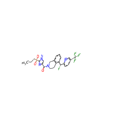 CCCS(=O)(=O)c1nc(C(=O)N2CCc3c(cccc3C(F)c3ccc(C(F)(F)F)cn3)C2)c[nH]1